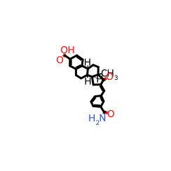 C[C@]12CC[C@@H]3c4ccc(C(=O)O)cc4CC[C@H]3[C@@H]1CC(=Cc1cccc(C(N)=O)c1)C2=O